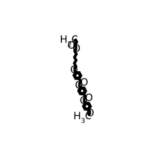 C=CC(=O)OCCCCCCOc1ccc(C(=O)Oc2ccc(C(=O)Oc3ccc(OC)cc3)cc2)cc1